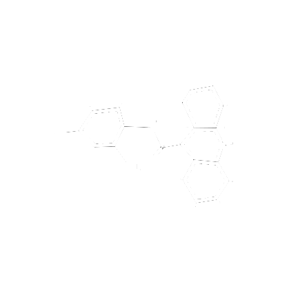 Cc1cc(F)ccc1OC(=O)c1c2ccccc2nc2ccccc12